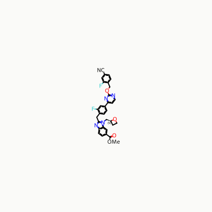 COC(=O)c1ccc2nc(Cc3ccc(-c4ccnc(OCc5ccc(C#N)cc5F)n4)cc3F)n(C[C@@H]3CCO3)c2c1